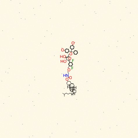 COc1ccc(C(OC[C@H]2O[C@@H](c3cc(COCCNC(=O)OC4CC[C@@]5(C)C(=CC[C@@H]6[C@@H]5CC[C@@]5(C)[C@H]6CC[C@]5(C)[C@H](C)CCCC(C)C)C4)c(F)cc3F)C(O)[C@H]2O)(c2ccccc2)c2ccc(OC)cc2)cc1